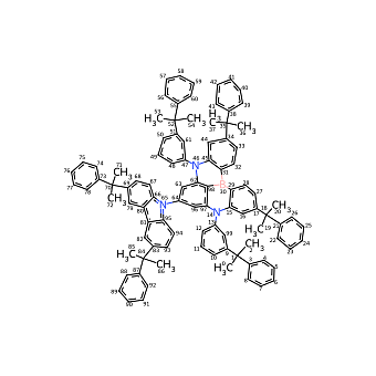 CC(C)(c1ccccc1)c1cccc(N2c3cc(C(C)(C)c4ccccc4)ccc3B3c4ccc(C(C)(C)c5ccccc5)cc4N(c4cccc(C(C)(C)c5ccccc5)c4)c4cc(-n5c6ccc(C(C)(C)c7ccccc7)cc6c6cc(C(C)(C)c7ccccc7)ccc65)cc2c43)c1